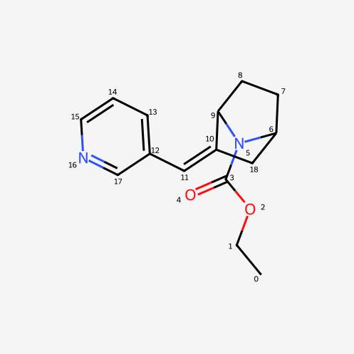 CCOC(=O)N1C2CCC1C(=Cc1cccnc1)C2